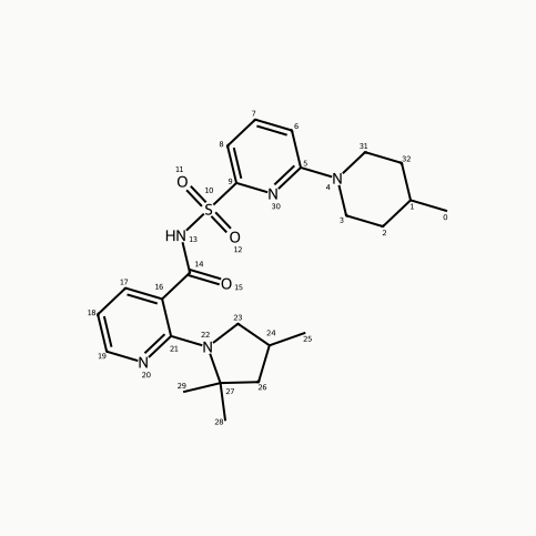 CC1CCN(c2cccc(S(=O)(=O)NC(=O)c3cccnc3N3CC(C)CC3(C)C)n2)CC1